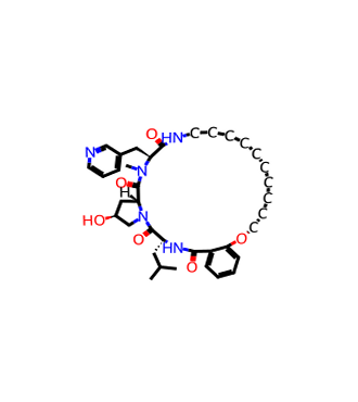 CC(C)C[C@H]1NC(=O)c2ccccc2OCCCCCCCCCCNC(=O)[C@H](Cc2cccnc2)N(C)C(=O)[C@H]2C[C@H](O)CN2C1=O